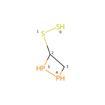 SSC1CPP1